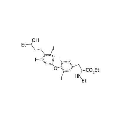 CCNC(Cc1cc(I)c(Oc2cc(I)c(CCC(O)CC)c(I)c2)c(I)c1)C(=O)OCC